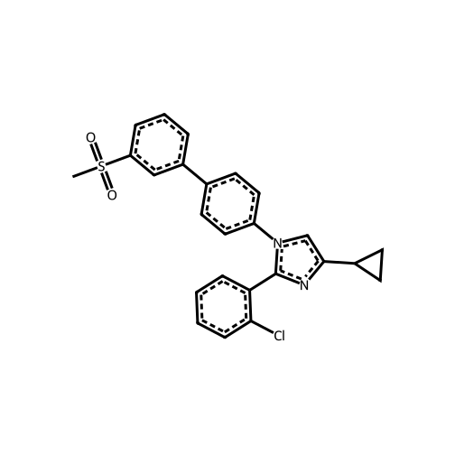 CS(=O)(=O)c1cccc(-c2ccc(-n3cc(C4CC4)nc3-c3ccccc3Cl)cc2)c1